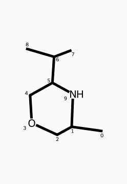 CC1COCC(C(C)C)N1